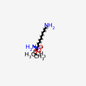 CC(C)(C)OC(=O)N(N)C(=O)CCCCCCCCCCN